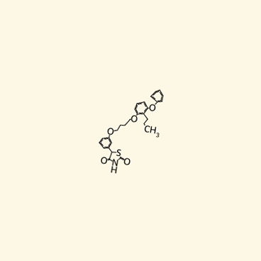 CCCc1c(OCCCCOc2cccc(C3SC(=O)NC3=O)c2)cccc1Oc1ccccc1